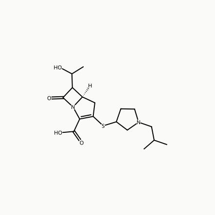 CC(C)CN1CCC(SC2=C(C(=O)O)N3C(=O)C(C(C)O)[C@H]3C2)C1